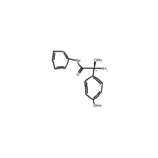 COc1ccc([C@](N)(OC)C(=O)Nc2ccccc2)cc1